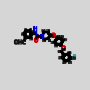 O=Cc1cccc(NC(=O)N2CCC(Oc3ccc(OCc4cccc(F)c4)cc3)CC2)c1